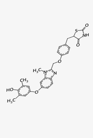 Cc1cc(Oc2ccc3nc(COc4ccc(CC5SC(=O)NC5=O)cc4)n(C)c3c2)cc(C)c1O